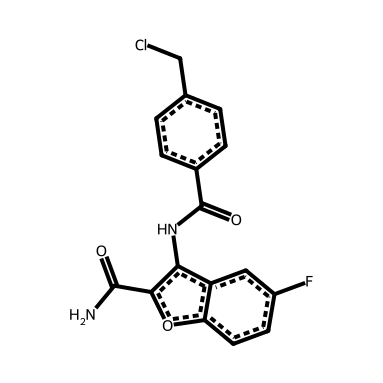 NC(=O)c1oc2ccc(F)cc2c1NC(=O)c1ccc(CCl)cc1